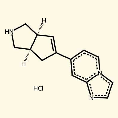 C1=C(c2ccn3ccnc3c2)C[C@H]2CNC[C@@H]12.Cl